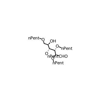 CCCCCOC[C@@H](O)[C@@H](OCCCCC)[C@H](OCCCCC)[C@@H](C=O)OCCCCC